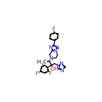 C[C@@H](N1CCn2nc(-c3ccc(F)cc3)nc2C1)[C@](O)(Cn1cncn1)c1ccc(F)cc1F